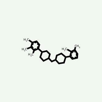 Cc1cccc(C2CCC(CC3CCC(c4ccc(C)c(C)c4C)CC3)CC2)c1C